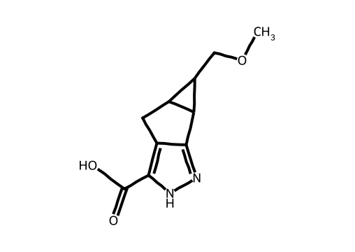 COCC1C2Cc3c(n[nH]c3C(=O)O)C12